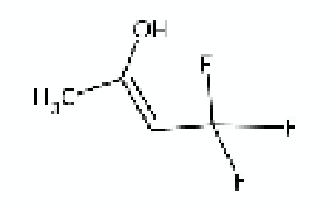 CC(O)=CC(F)(F)F